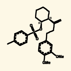 C=C(CCc1ccc(OC)c(OC)c1)[C@@H]1CCCC[C@@H]1OS(=O)(=O)c1ccc(C)cc1